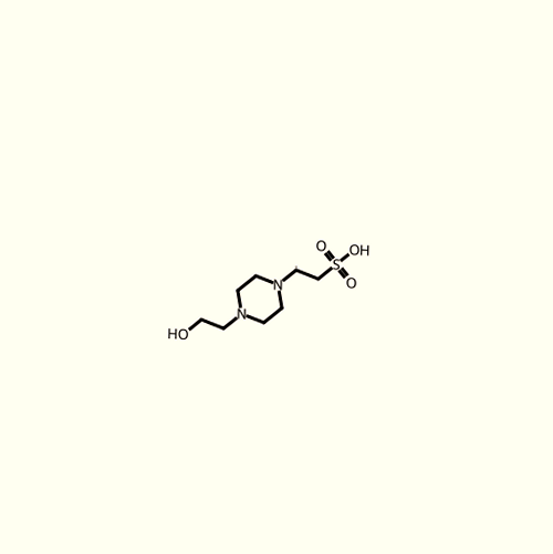 O=S(=O)(O)C[CH]N1CCN(CCO)CC1